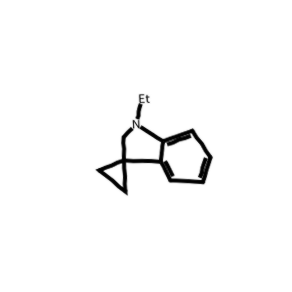 [CH2]CN1CC2(CC2)c2ccccc21